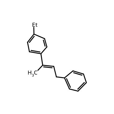 CCc1ccc(C(C)=CCc2ccccc2)cc1